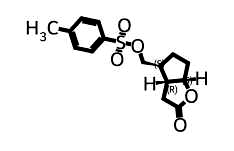 Cc1ccc(S(=O)(=O)OC[C@H]2CC[C@@H]3OC(=O)C[C@H]23)cc1